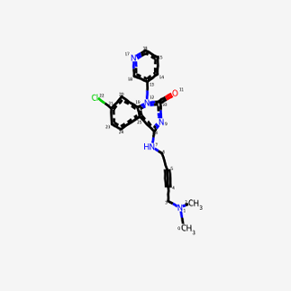 CN(C)CC#CCNc1nc(=O)n(-c2cccnc2)c2cc(Cl)ccc12